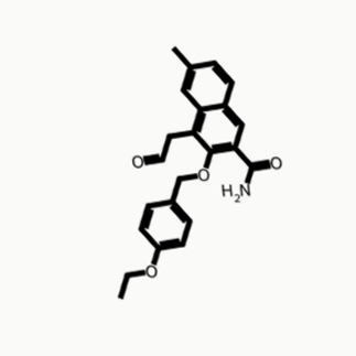 CCOc1ccc(COc2c(C(N)=O)cc3ccc(C)cc3c2CC=O)cc1